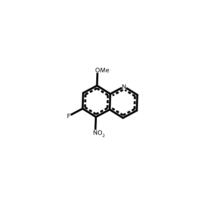 COc1cc(F)c([N+](=O)[O-])c2cccnc12